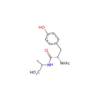 CC(=O)NC(Cc1ccc(O)cc1)C(=O)NC(C)C(=O)O